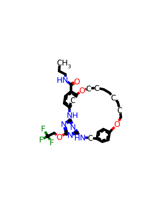 CCCNC(=O)c1ccc2cc1OCCCCCCCCOc1ccc(cc1)CNc1nc(nc(OCC(F)(F)F)n1)N2